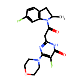 CC1Cc2ccc(F)cc2N1C(=O)Cc1nc(N2CCOCC2)c(F)c(=O)[nH]1